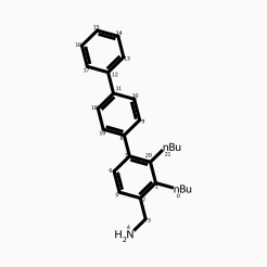 CCCCc1c(CN)ccc(-c2ccc(-c3ccccc3)cc2)c1CCCC